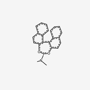 CN(C)p1oc2ccc3ccccc3c2c2c(ccc3ccccc32)o1